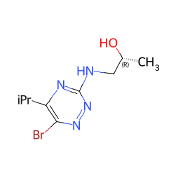 CC(C)c1nc(NC[C@@H](C)O)nnc1Br